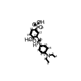 CCN(CC)c1ccc(N=NC2C=C(S(=O)(=O)O)C=CC2(O)O)cc1